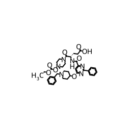 CCOC(=O)ON1CCN(C(=O)[C@H](CCC(=O)O)NC(=O)c2cc(OC3CCN(Cc4ccccc4)CC3)nc(-c3ccccc3)n2)CC1